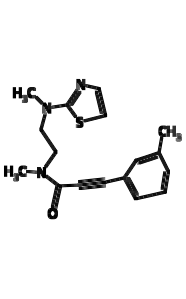 Cc1cccc(C#CC(=O)N(C)CCN(C)c2nccs2)c1